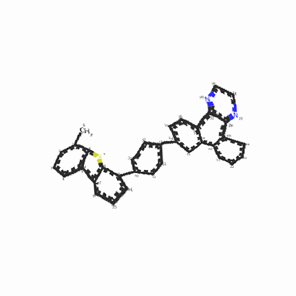 Cc1cccc2c1sc1c(-c3ccc(-c4ccc5c(c4)c4ccccc4c4nccnc54)cc3)cccc12